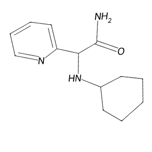 NC(=O)C(NC1CCCCC1)c1ccccn1